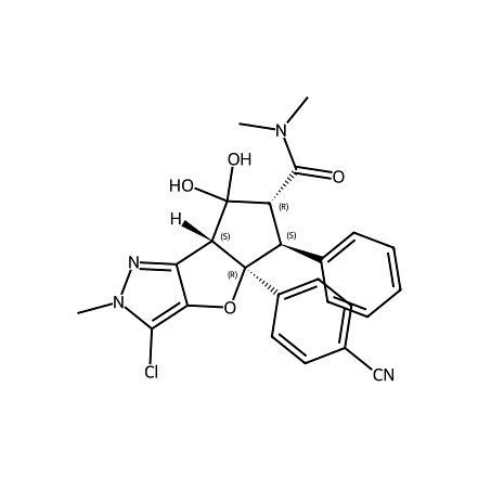 CN(C)C(=O)[C@@H]1[C@@H](c2ccccc2)[C@@]2(c3ccc(C#N)cc3)Oc3c(nn(C)c3Cl)[C@@H]2C1(O)O